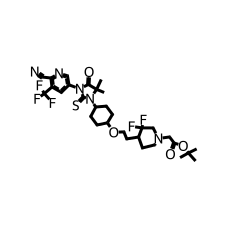 CC(C)(C)OC(=O)CN1CCC(CCOC2CCC(N3C(=S)N(c4cnc(C#N)c(C(F)(F)F)c4)C(=O)C3(C)C)CC2)C(F)(F)C1